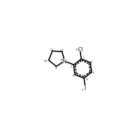 Clc1ccc(I)cc1N1CCCC1